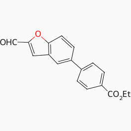 CCOC(=O)c1ccc(-c2ccc3oc(C=O)cc3c2)cc1